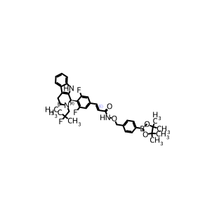 C[C@@H]1Cc2c([nH]c3ccccc23)[C@@H](c2c(F)cc(/C=C/C(=O)NOCc3ccc(B4OC(C)(C)C(C)(C)O4)cc3)cc2F)N1CC(C)(C)F